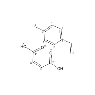 C=Cc1ccc(C)cc1.O=C(O)/C=C\C(=O)O